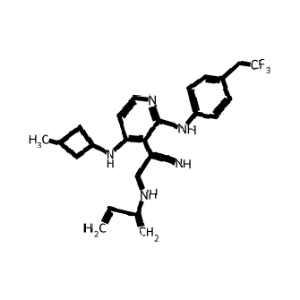 C=CC(=C)NCC(=N)c1c(NC2CC(C)C2)ccnc1Nc1ccc(CC(F)(F)F)cc1